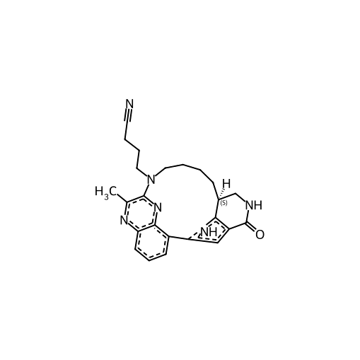 Cc1nc2cccc3c2nc1N(CCCC#N)CCCC[C@H]1CNC(=O)c2cc-3[nH]c21